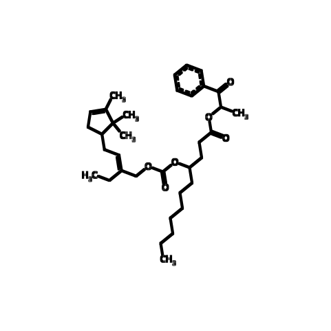 CCCCCCCC(CCC(=O)OC(C)C(=O)c1ccccc1)OC(=O)OCC(=CCC1CC=C(C)C1(C)C)CC